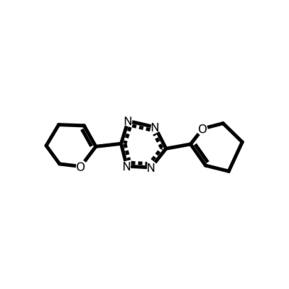 C1=C(c2nnc(C3=CCCCO3)nn2)OCCC1